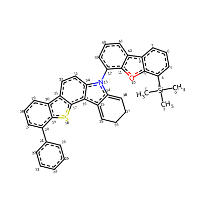 C[Si](C)(C)c1cccc2c1oc1c(-n3c4c(c5c6sc7c(-c8ccccc8)cccc7c6ccc53)=CCCC=4)cccc12